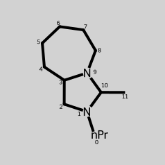 CCCN1CC2CCCCCN2C1C